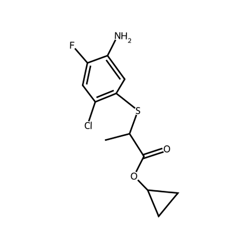 CC(Sc1cc(N)c(F)cc1Cl)C(=O)OC1CC1